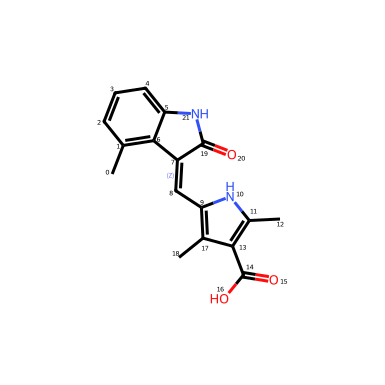 Cc1cccc2c1/C(=C/c1[nH]c(C)c(C(=O)O)c1C)C(=O)N2